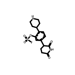 O=C1CCC(c2ccc(C3CCNCC3)c(OS(=O)(=O)F)c2)C(=O)N1